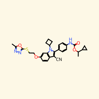 Cc1nnc(SCCOc2ccc3c(C#N)c(-c4ccc(NC(=O)OC(C)C5CC5)cc4)n(C4CCC4)c3c2)o1